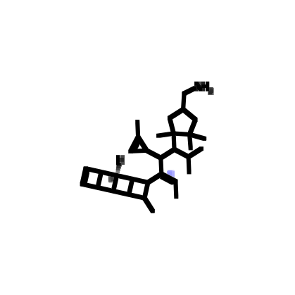 C/C=C(\C1C(C)C2C3C4C=CC4[C@H]3C12)C(C1C=C1C)C(C(C)C)C1(C)CC(CN)CC1(C)C